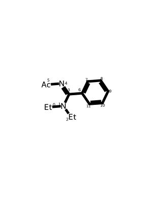 CCN(CC)C(=NC(C)=O)c1ccccc1